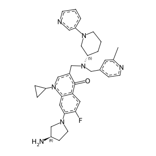 Cc1cc(CN(Cc2cn(C3CC3)c3cc(N4CC[C@@H](N)C4)c(F)cc3c2=O)[C@H]2CCCN(c3cccnc3)C2)ccn1